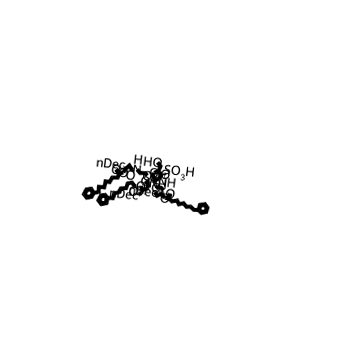 CCCCCCCCCCC[C@H](CC(=O)NC1C(NC(=O)C[C@@H](CCCCCCCCCCC)OC(=O)CCCCCCCc2ccccc2)[C@H](OS(=O)(=O)O)C(CO)O[C@H]1OCCNC(=O)C[C@@H](CCCCCCCCCC)OC(=O)CCCCCCCc1ccccc1)OC(=O)CCCCCCCc1ccccc1